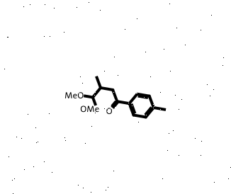 COC(OC)C(C)CC(=O)c1ccc(C)cc1